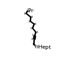 CCCCCCCCC#CCCCCCC[C](C)C